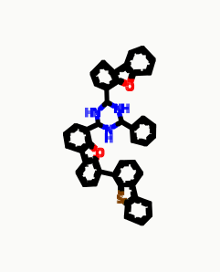 c1ccc(C2NC(c3cccc4c3oc3ccccc34)NC(c3cccc4c3oc3c(-c5cccc6c5sc5ccccc56)cccc34)N2)cc1